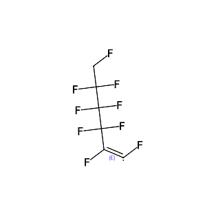 F/[C]=C(/F)C(F)(F)C(F)(F)C(F)(F)CF